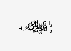 CSCC1=C(C(=O)O)N[C@@H]([C@H](NC(C)=O)C(C)=O)SC1